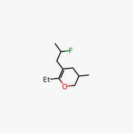 CCC1=C(CC(C)F)CC(C)CO1